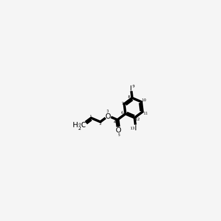 C=CCOC(=O)c1cc(I)ccc1I